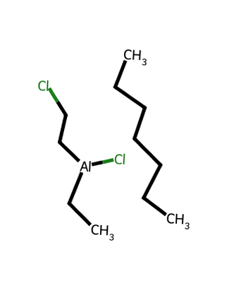 CCCCCCC.C[CH2][Al]([Cl])[CH2]CCl